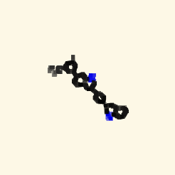 Cc1cc(-c2ccc3cc(-c4ccc(-c5cnc6ccccc6c5)cc4)cnc3c2)cc(C(F)(F)F)c1